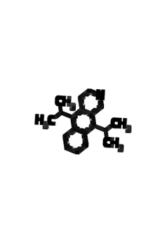 CC(C)c1c2ccccc2c(C(C)C)c2cnccc12